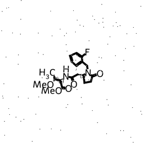 COC(=O)[C@@H](NC(=O)C[C@@H]1CCC(=O)N1Cc1ccccc1F)[C@@H](C)OC